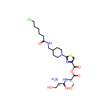 N[C@@H](CO)C(=O)N[C@@H](CO)C(=O)OC(=O)c1csc(N2CCC(CNC(=O)CCCCCCl)CC2)n1